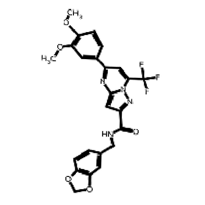 COc1ccc(-c2cc(C(F)(F)F)n3nc(C(=O)NCc4ccc5c(c4)OCO5)cc3n2)cc1OC